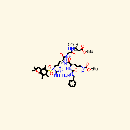 Cc1c(C)c(S(=O)(=O)N(CCC[C@H](NC(=O)[C@H](CCCNC(=O)OC(C)(C)C)NC(=O)N(N)Cc2ccccc2)C(=O)NCC(=O)N[C@@H](CC(=O)OC(C)(C)C)C(=O)O)C(=N)N)c(C)c2c1OC(C)(C)C2